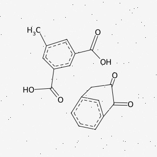 Cc1cc(C(=O)O)cc(C(=O)O)c1.O=C1Cc2cccc(c2)C1=O